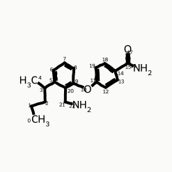 CCCC(C)c1cccc(Oc2ccc(C(N)=O)cc2)c1CN